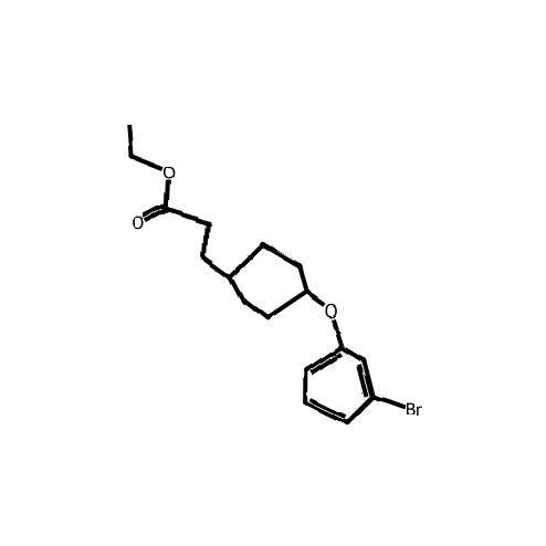 CCOC(=O)CCC1CCC(Oc2cccc(Br)c2)CC1